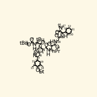 CCC[C@H](NC(=O)[C@@H]1C[C@]2(CC(c3cc(C)c(OCC)c(C)c3)=NO2)CN1C(=O)[C@@H](NC(=O)OC(C)(C)C)C(C)(C)C)C(=O)C(=O)NCC(=O)N[C@H](C(=O)N(C)C)c1ccccc1